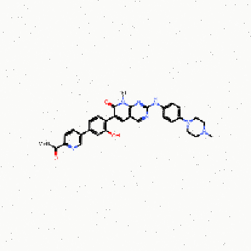 CCn1c(=O)c(-c2ccc(-c3ccc(C(=O)NC)nc3)cc2O)cc2cnc(Nc3ccc(N4CCN(C)CC4)cc3)nc21